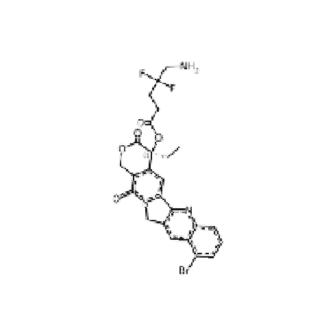 CC[C@@]1(OC(=O)CCC(F)(F)CN)C(=O)OCc2c1cc1n(c2=O)Cc2cc3c(Br)cccc3nc2-1